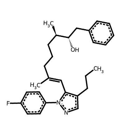 CCCc1cnn(-c2ccc(F)cc2)c1/C=C(\C)CCC[C@@H](C)[C@@H](O)Cc1ccccc1